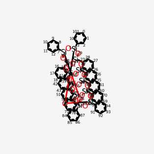 c1ccc([Si]23O[Si]4(c5ccccc5)O[Si]5(c6ccccc6)O[Si](c6ccccc6)(O2)O[Si]2(c6ccccc6)O[Si](c6ccccc6)(O5)O[Si]5(c6ccccc6)O[Si](c6ccccc6)(O2)O[Si]2(c6ccccc6)O[Si](c6ccccc6)(O[Si](c6ccccc6)(O[Si](c6ccccc6)(O3)O2)O4)O5)cc1